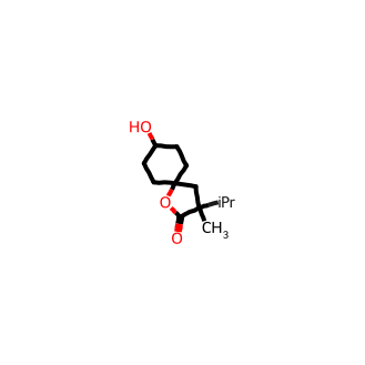 CC(C)C1(C)CC2(CCC(O)CC2)OC1=O